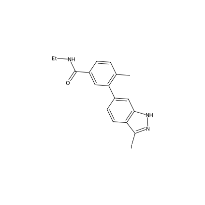 CCNC(=O)c1ccc(C)c(-c2ccc3c(I)n[nH]c3c2)c1